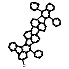 Clc1cc2c(-c3ccccc3)c3c4ccc5c6ccc7c8c(ccc(c9ccc(c4c59)c3c3c4ccccc4c(c1)c23)c86)-c1c-7c(-c2ccccc2)c2ccccc2c1-c1ccccc1